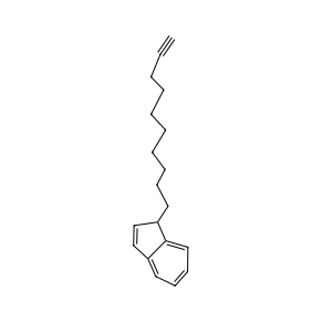 C#CCCCCCCCCC1C=Cc2ccccc21